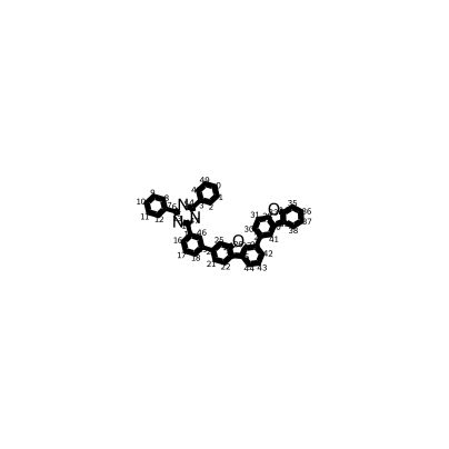 c1ccc(-c2nc(-c3ccccc3)nc(-c3cccc(-c4ccc5c(c4)oc4c(-c6ccc7oc8ccccc8c7c6)cccc45)c3)n2)cc1